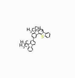 CC1(C)c2ccccc2-c2ccc(-c3ccc4c(c3)-c3c(ccc5c3sc3ccccc35)C4(C)C)cc21